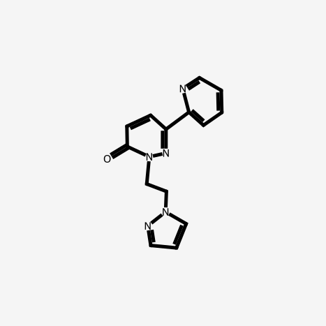 O=c1ccc(-c2ccccn2)nn1CCn1cccn1